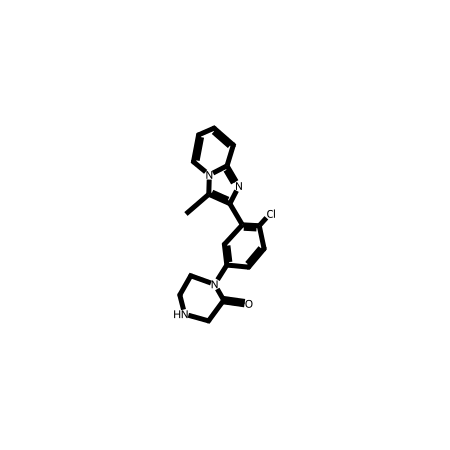 Cc1c(-c2cc(N3CCNCC3=O)ccc2Cl)nc2ccccn12